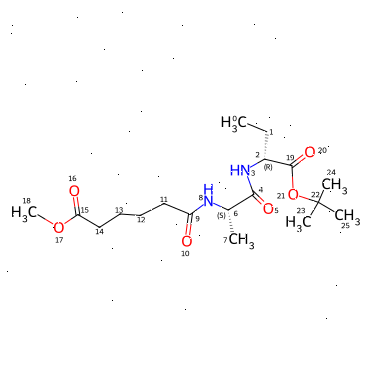 CC[C@@H](NC(=O)[C@H](C)NC(=O)CCCCC(=O)OC)C(=O)OC(C)(C)C